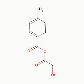 Cc1ccc(C(=O)OC(=O)CO)cc1